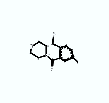 O=C(c1cc(F)ccc1CBr)N1CCOCC1